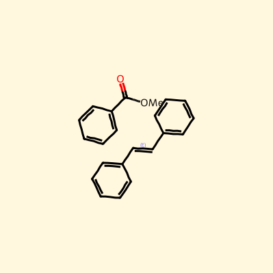 C(=C\c1ccccc1)/c1ccccc1.COC(=O)c1ccccc1